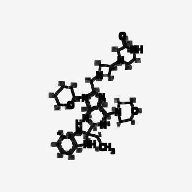 CCC1(c2nc(N3CCOCC3)c3nc(CN4CC(N5CCNC(=O)C5)C4)n(C4CCCCO4)c3n2)Nc2ccccc2N1